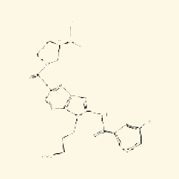 COCCCn1c(NC(=O)c2cccc(C#N)c2)nc2cc(C(=O)N3CC[C@@H](N(C)C)C3)cnc21